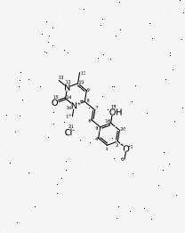 COc1ccc(C=Cc2cc(C)n(C)c(=O)[n+]2C)c(O)c1.[Cl-]